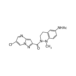 CC(=O)Nc1ccc2c(c1)CCN(C(=O)c1cc3ncc(Cl)cn3n1)N2C